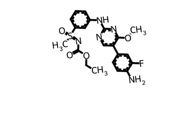 CCOC(=O)N=S(C)(=O)c1cccc(Nc2ncc(-c3ccc(N)c(F)c3)c(OC)n2)c1